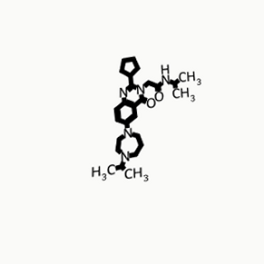 CC(C)NC(=O)Cn1c(C2CCCC2)nc2ccc(N3CCCN(C(C)C)CC3)cc2c1=O